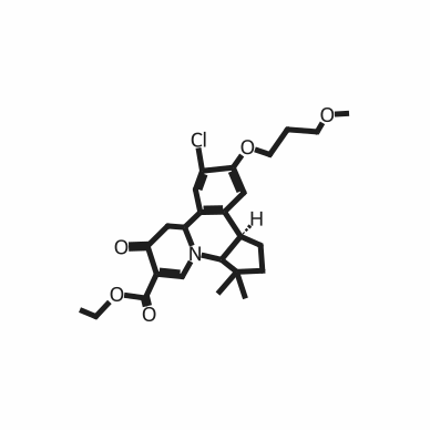 CCOC(=O)C1=CN2C(CC1=O)c1cc(Cl)c(OCCCOC)cc1[C@H]1CCC(C)(C)C12